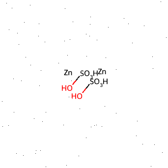 O=S(=O)(O)O.O=S(=O)(O)O.[Zn].[Zn]